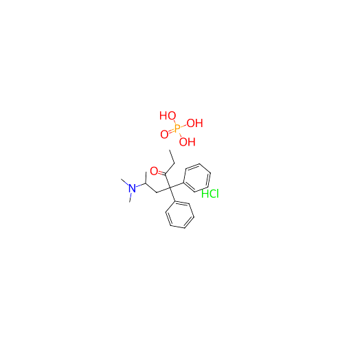 CCC(=O)C(CC(C)N(C)C)(c1ccccc1)c1ccccc1.Cl.O=P(O)(O)O